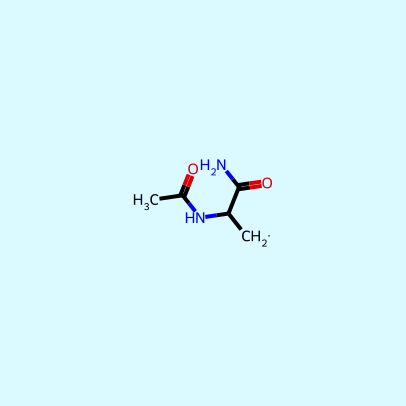 [CH2]C(NC(C)=O)C(N)=O